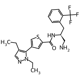 CCc1cnn(CC)c1-c1csc(C(=O)N[C@H](CN)Cc2ccccc2C(F)(F)F)c1